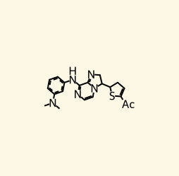 CC(=O)C1=CCC(C2CN=C3C(Nc4cccc(N(C)C)c4)=NC=CN32)S1